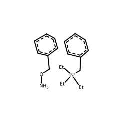 CC[N+](CC)(CC)Cc1ccccc1.NOCc1ccccc1